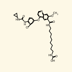 COc1cc2nccc(Oc3ccc(NC(=O)NC4CC4)c(Cl)c3)c2cc1C(=O)NCCCCCCCCCNC(=O)O